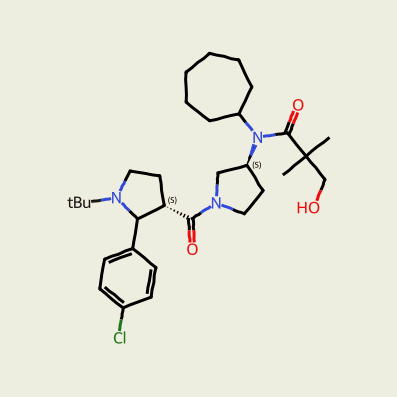 CC(C)(CO)C(=O)N(C1CCCCCC1)[C@H]1CCN(C(=O)[C@H]2CCN(C(C)(C)C)C2c2ccc(Cl)cc2)C1